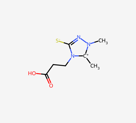 C[c+]1n(C)nc([S-])n1CCC(=O)O